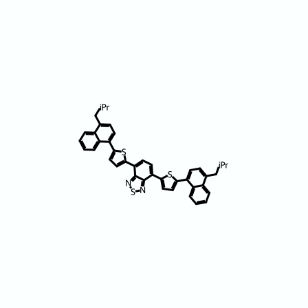 CC(C)Cc1ccc(-c2ccc(-c3ccc(-c4ccc(-c5ccc(CC(C)C)c6ccccc56)s4)c4nsnc34)s2)c2ccccc12